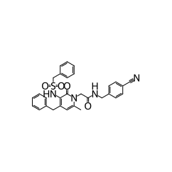 Cc1cc(Cc2ccccc2)c(NS(=O)(=O)Cc2ccccc2)c(=O)n1CC(=O)NCc1ccc(C#N)cc1